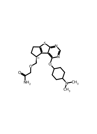 CN(C)C1CCC(Oc2ncnc3sc4c(c23)[C@@H](COCC(N)=O)CC4)CC1